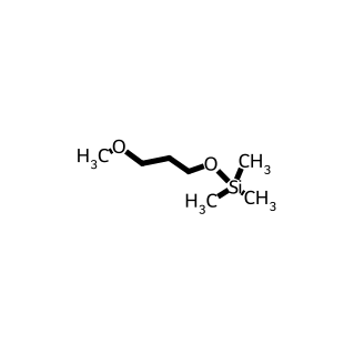 COCCCO[Si](C)(C)C